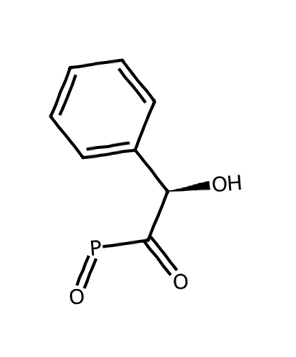 O=PC(=O)[C@H](O)c1ccccc1